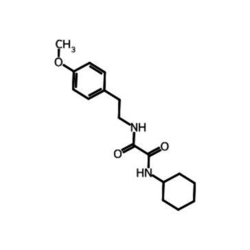 COc1ccc(CCNC(=O)C(=O)NC2CCCCC2)cc1